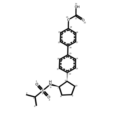 CC(C)S(=O)(=O)N[C@@H]1CCC[C@H]1c1ccc(-c2ccc(OC(=O)O)cc2)cc1